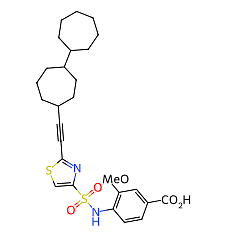 COc1cc(C(=O)O)ccc1NS(=O)(=O)c1csc(C#CC2CCCC(C3CCCCCC3)CC2)n1